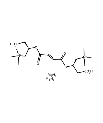 C[N+](C)(C)C[C@@H](CC(=O)O)OC(=O)/C=C/C(=O)O[C@H](CC(=O)O)C[N+](C)(C)C.[MgH2].[MgH2]